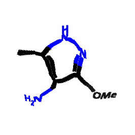 COc1n[nH]c(C)c1N